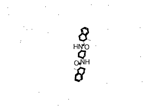 C[C@H]1c2ccccc2CC[C@H]1C(=O)N[C@H]1CC[C@H](NC(=O)[C@@H]2CCc3ccccc3[C@@H]2C)CC1